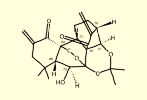 C=C1CC(C)(C)[C@H]2[C@H](O)C34OC[C@]2(C1=O)[C@@H]1CC[C@H]2C(=C)C(=O)[C@]13[C@@H]2OC(C)(C)O4